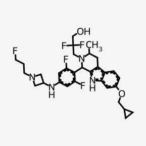 CC1Cc2c([nH]c3cc(OCC4CC4)ccc23)C(c2c(F)cc(NC3CN(CCCF)C3)cc2F)N1CC(F)(F)CO